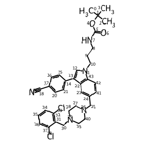 CC(C)(C)OC(=O)NCCCn1cc(-c2ccc(C#N)cc2)c2cc(CN3CCN(Cc4c(Cl)cccc4Cl)CC3)ccc21